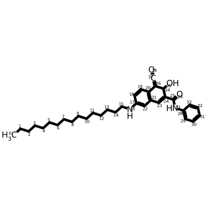 CCCCCCCCCCCCCCCCNc1ccc2c(c1)C=C(C(=O)Nc1ccccc1)C(O)C2=C=O